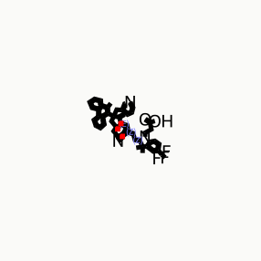 C=C(/C(C)=C/C(C#N)=C/C=C1\N(CCC(=O)O)c2ccc(C(F)(F)F)cc2C1(C)C)C(CC1=CCCCC1)(Cc1cccnc1)c1c(C)c2ccccc2c2ccccc12